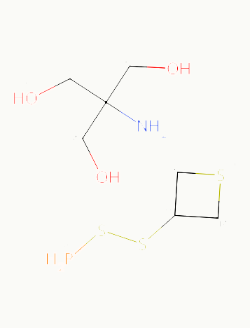 NC(CO)(CO)CO.PSSC1CSC1